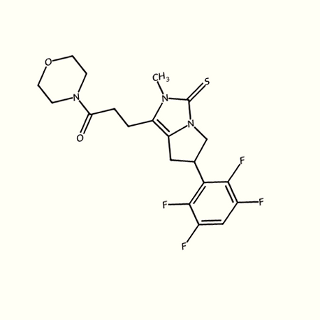 Cn1c(CCC(=O)N2CCOCC2)c2n(c1=S)CC(c1c(F)c(F)cc(F)c1F)C2